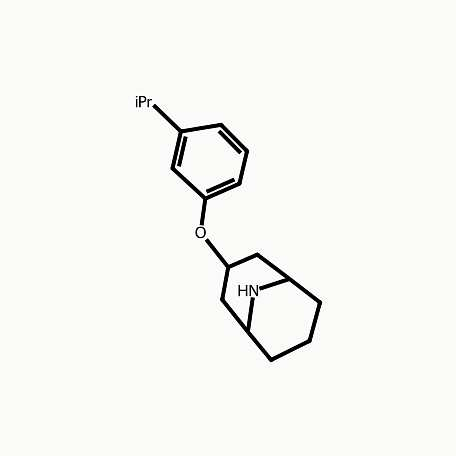 CC(C)c1cccc(OC2CC3CCCC(C2)N3)c1